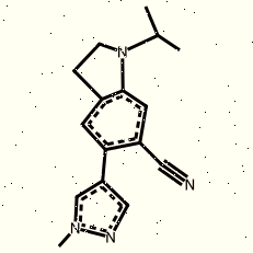 CC(C)N1CCc2cc(-c3cnn(C)c3)c(C#N)cc21